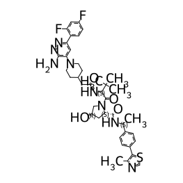 Cc1ncsc1-c1ccc([C@H](C)NC(=O)[C@@H]2C[C@@H](O)CN2C(=O)[C@@H](NC(=O)CC2CCN(c3cc(-c4ccc(F)cc4F)nnc3N)CC2)C(C)(C)C)cc1